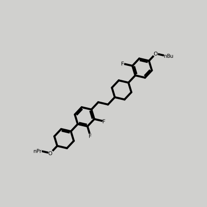 CCCCOc1ccc(C2CCC(CCc3ccc(C4=CCC(OCCC)CC4)c(F)c3F)CC2)c(F)c1